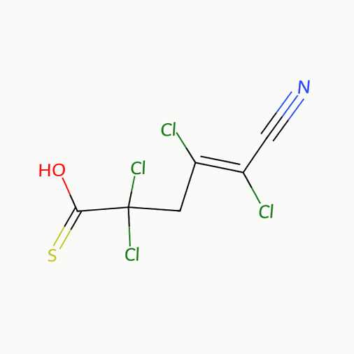 N#CC(Cl)=C(Cl)CC(Cl)(Cl)C(O)=S